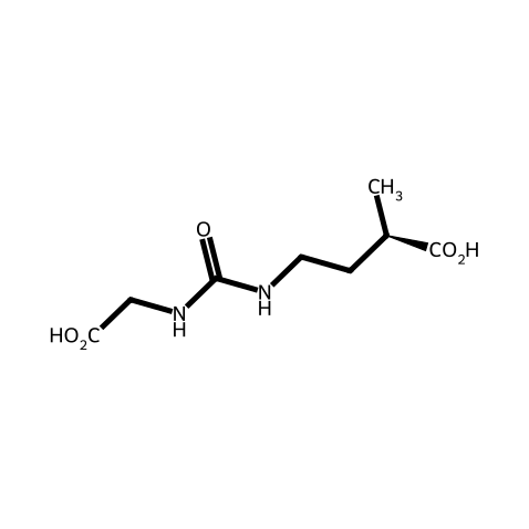 C[C@H](CCNC(=O)NCC(=O)O)C(=O)O